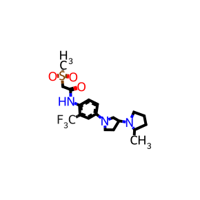 CC1CCCN1C1CCN(c2ccc(NC(=O)CS(C)(=O)=O)c(C(F)(F)F)c2)C1